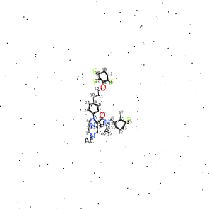 CC(=O)N1CC2CC(c3ccc(CCCOc4c(F)ccc(F)c4F)cc3)=C(C(=O)N(Cc3cccc(F)c3C)C3CC3)[C@@H](C1)N2